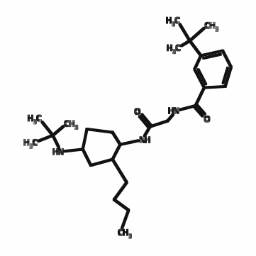 CCCCC1CC(NC(C)(C)C)CCC1NC(=O)CNC(=O)c1cccc(C(C)(C)C)c1